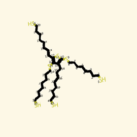 SCCCCCCCCSc1sc(CCCCCCCCS)c(SCCCCCCCCS)c1CCCCCCCCS